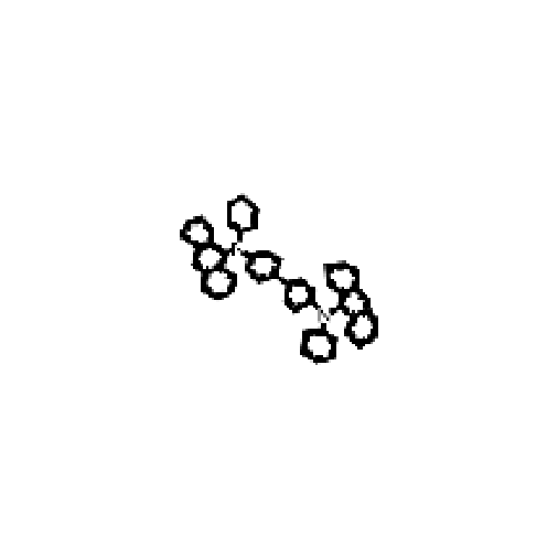 C1=CC(N(c2ccc(-c3ccc(N(c4ccccc4)c4c5ccccc5cc5ccccc45)cc3)cc2)c2c3ccccc3cc3ccccc23)=CCC1